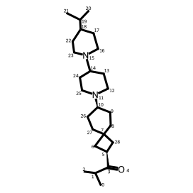 CC(C)C(=O)[C@H]1CC2(CC[C@H](N3CCC(N4CCC(C(C)C)CC4)CC3)CC2)C1